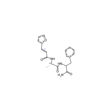 C[C@H](NC(=O)/C=C/c1ccco1)C(=O)NC(Cc1ccccc1)C(N)=O